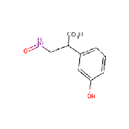 O=[PH2]CC(C(=O)O)c1cccc(O)c1